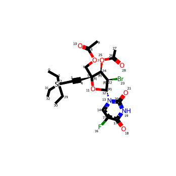 CC[Si](C#C[C@]1(COC(C)=O)O[C@@H](n2cc(F)c(=O)[nH]c2=O)[C@H](Br)[C@@H]1OC(C)=O)(CC)CC